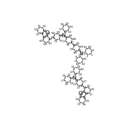 c1ccc(N(c2ccc(-c3ccc(N(c4ccccc4)c4ccc(-c5cccc6c5oc5ccccc56)cc4)cc3)cc2)c2ccc(-c3ccc(N(c4ccccc4)c4ccc(-c5cccc6c5oc5ccccc56)cc4)cc3)cc2)cc1